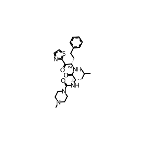 CC(C)C[C@H](NC(=O)N1CCN(C)CC1)C(=O)N[C@@H](CCc1ccccc1)C(=O)c1nccs1